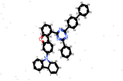 C1=CC2c3ccccc3N(c3ccc4c(c3)oc3cccc(-c5nc(-c6ccccc6)nc(-c6ccc(-c7ccccc7)cc6)n5)c34)C2C=C1